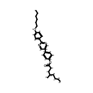 CCCCCCOc1ccc(-c2ncc(-c3ccc(OC(=O)CCC(C)CCCC)cc3)cn2)cc1